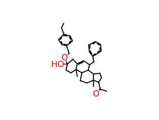 CCc1ccc(COC2(O)CCC3(C)C(=CC(Cc4ccccc4)C4C3CCC3(C)C(C(C)=O)CCC43)C2)cc1